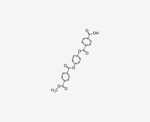 COC(=O)c1ccc(C(=O)Oc2ccc(OC(=O)c3ccc(C(=O)O)cc3)cc2)cc1